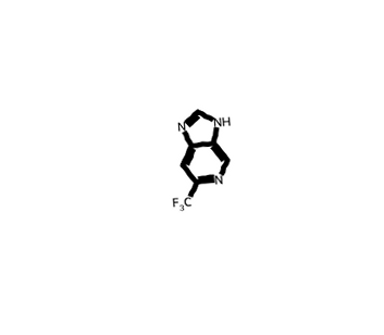 FC(F)(F)c1cc2nc[nH]c2cn1